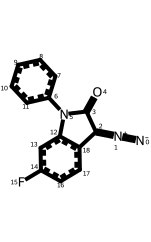 [N-]=[N+]=C1C(=O)N(c2ccccc2)c2cc(F)ccc21